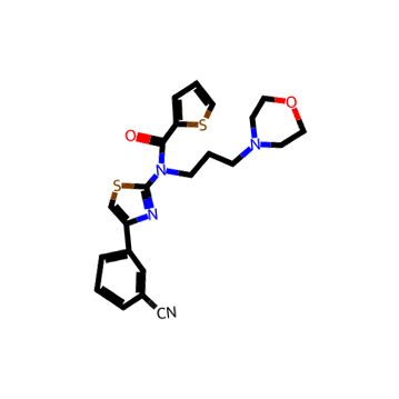 N#Cc1cccc(-c2csc(N(CCCN3CCOCC3)C(=O)c3cccs3)n2)c1